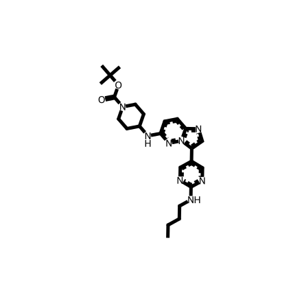 CCCCNc1ncc(-c2cnc3ccc(NC4CCN(C(=O)OC(C)(C)C)CC4)nn23)cn1